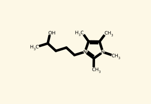 Cc1c(C)[n+](CCCC(C)O)c(C)n1C